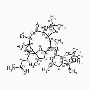 CC[C@H]1OC(=O)[C@H](C)[C@@H](O[Si](C)(C)C)[C@H](C)[C@@H](OC2O[C@H](C)C[C@H](N(C)C)[C@H]2O[Si](C)(C)C)[C@@]2(C)C[C@@H](C)C3(OC1(C)C=C3CCC(=N)N)O2